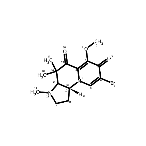 COc1c2n(cc(Br)c1=O)[C@@H]1CCN(C)C1C(C)(C)C2=O